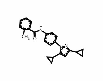 Cc1ccccc1C(=O)Nc1ccc(-n2nc(C3CC3)cc2C2CC2)cc1